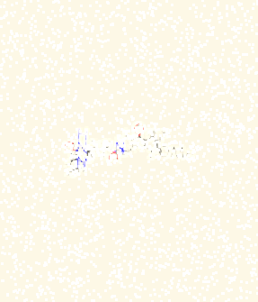 COc1ccc(C(=O)C2CCN(C(=O)CCCc3cn4cccc4c(=O)[nH]3)CC2)cc1C